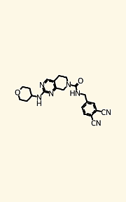 N#Cc1ccc(CNC(=O)N2CCc3cnc(NC4CCOCC4)nc3C2)cc1C#N